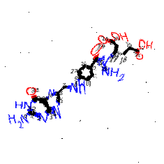 Nc1nc2ncc(CNc3ccc(C(=O)N(N)[C@@H](CCC(=O)O)C(=O)O)cc3)nc2c(=O)[nH]1